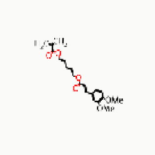 C=C(C)C(=O)OCCCCCOC(=O)/C=C/c1ccc(OC)c(OC)c1